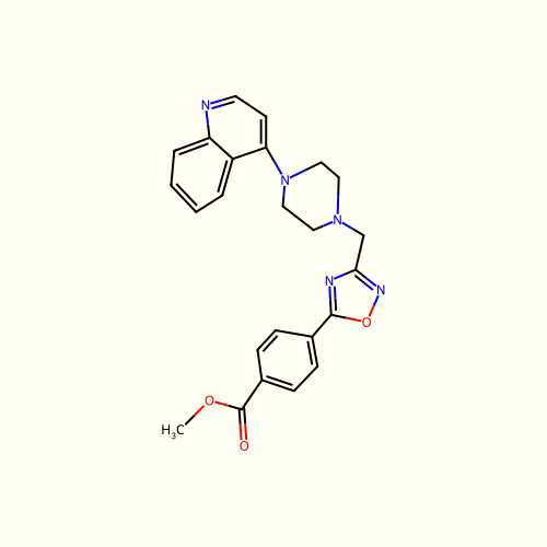 COC(=O)c1ccc(-c2nc(CN3CCN(c4ccnc5ccccc45)CC3)no2)cc1